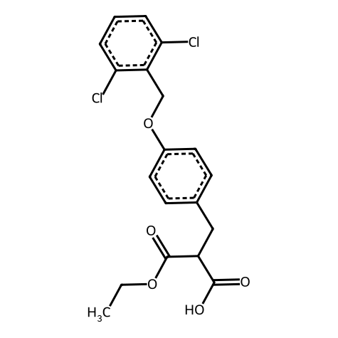 CCOC(=O)C(Cc1ccc(OCc2c(Cl)cccc2Cl)cc1)C(=O)O